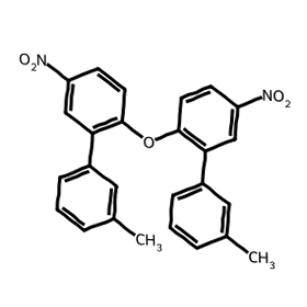 Cc1cccc(-c2cc([N+](=O)[O-])ccc2Oc2ccc([N+](=O)[O-])cc2-c2cccc(C)c2)c1